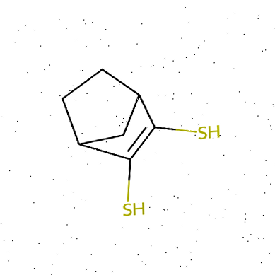 SC1=C(S)C2CCC1C2